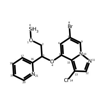 [SiH3]OCC(Oc1cc(Br)cn2ncc(Cl)c12)c1ccccn1